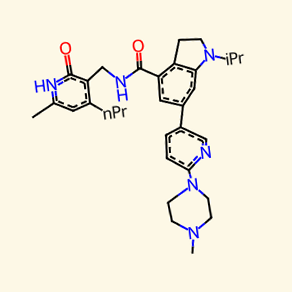 CCCc1cc(C)[nH]c(=O)c1CNC(=O)c1cc(-c2ccc(N3CCN(C)CC3)nc2)cc2c1CCN2C(C)C